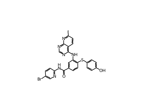 Cc1ccc2c(Nc3cc(C(=O)Nc4ccc(Br)cn4)ccc3Sc3ccc(O)cc3)ncnc2n1